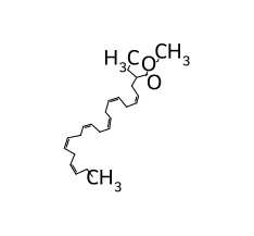 CC/C=C\C/C=C\C/C=C\C/C=C\C/C=C\C/C=C\CC(CC)C(=O)OCC